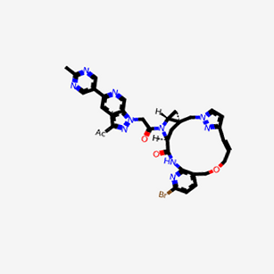 CC(=O)c1nn(CC(=O)N2[C@H]3C[C@]4(C[C@@H]24)Cn2ccc(n2)/C=C/COCc2ccc(Br)nc2NC3=O)c2cnc(-c3cnc(C)nc3)cc12